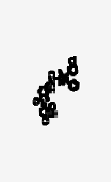 Cc1c(C(=O)NCc2ccc3c(c2)CN(C2CCC(=O)NC2=O)C3=O)nn(-c2ccccc2)c1-c1cccc(Cl)c1